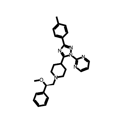 CO[C@@H](CN1CCC(c2nc(-c3ccc(C)cc3)nn2-c2ncccn2)CC1)c1ccccc1